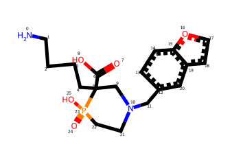 NCCCCC1(C(=O)O)CN(Cc2ccc3occc3c2)CCP1(=O)O